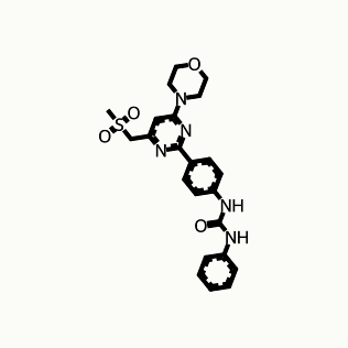 CS(=O)(=O)Cc1cc(N2CCOCC2)nc(-c2ccc(NC(=O)Nc3ccccc3)cc2)n1